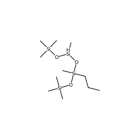 CCC[Si](C)(O[SiH](C)O[Si](C)(C)C)O[Si](C)(C)C